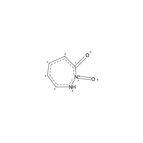 O=c1cccc[nH][n+]1=O